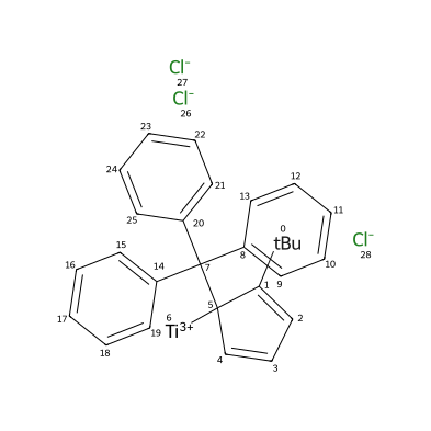 CC(C)(C)C1=CC=C[C]1([Ti+3])C(c1ccccc1)(c1ccccc1)c1ccccc1.[Cl-].[Cl-].[Cl-]